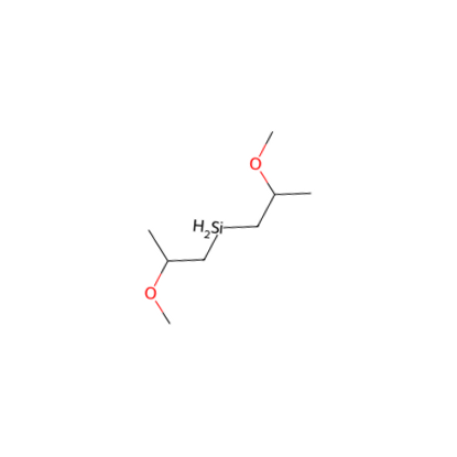 COC(C)C[SiH2]CC(C)OC